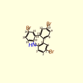 Brc1ccc2c(c1)-c1ccc(Br)cc1-c1cc(Br)ccc1N2